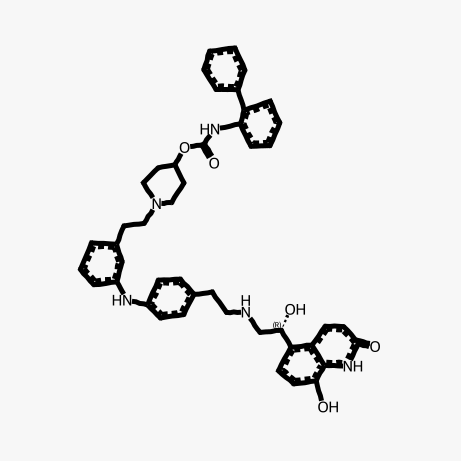 O=C(Nc1ccccc1-c1ccccc1)OC1CCN(CCc2cccc(Nc3ccc(CCNC[C@H](O)c4ccc(O)c5[nH]c(=O)ccc45)cc3)c2)CC1